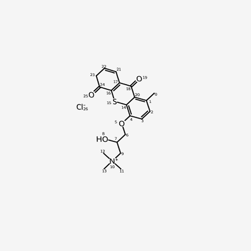 Cc1ccc(OCC(O)C[N+](C)(C)C)c2sc3c(c(=O)c12)C=CCC3=O.[Cl-]